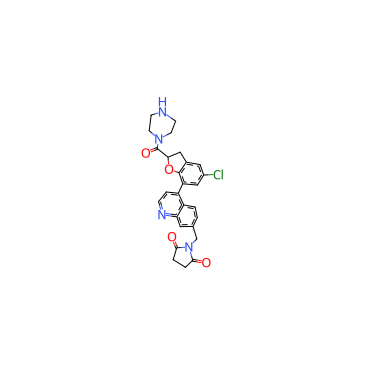 O=C(C1Cc2cc(Cl)cc(-c3ccnc4cc(CN5C(=O)CCC5=O)ccc34)c2O1)N1CCNCC1